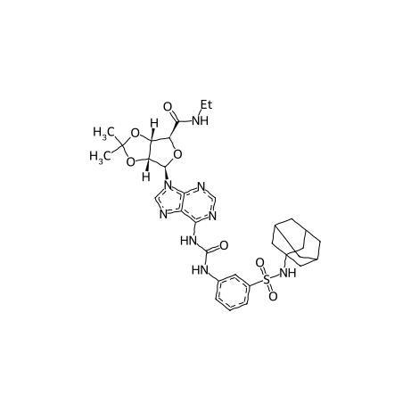 CCNC(=O)[C@H]1O[C@@H](n2cnc3c(NC(=O)Nc4cccc(S(=O)(=O)NC56CC7CC(CC(C7)C5)C6)c4)ncnc32)[C@@H]2OC(C)(C)O[C@@H]21